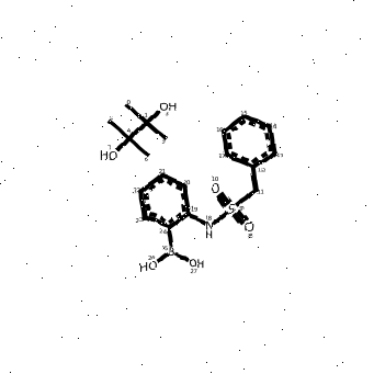 CC(C)(O)C(C)(C)O.O=S(=O)(Cc1ccccc1)Nc1ccccc1B(O)O